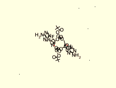 CC(C)(C)C(=O)OCOP1(=O)OC[C@H]2OC(n3cnc4c(N)ncnc43)C(F)C2OP(=O)(OCOC(=O)C(C)(C)C)OCC2OC(n3cnc4c(N)ncnc43)C(O1)C2O